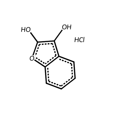 Cl.Oc1oc2ccccc2c1O